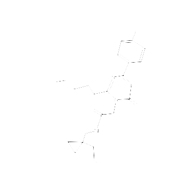 CCCCCc1nc(-c2ccc(Cl)cc2)cc(=O)n1CC(=O)NCC1(CO)CC1